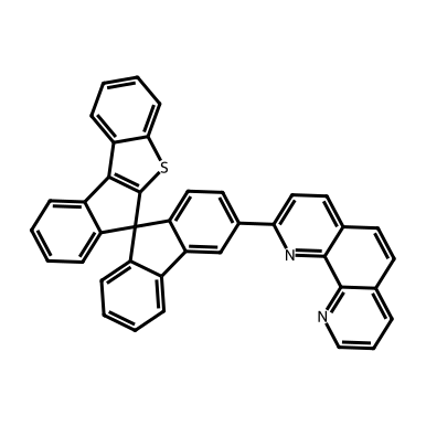 c1ccc2c(c1)-c1cc(-c3ccc4ccc5cccnc5c4n3)ccc1C21c2ccccc2-c2c1sc1ccccc21